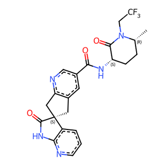 C[C@@H]1CC[C@H](NC(=O)c2cnc3c(c2)C[C@@]2(C3)C(=O)Nc3ncccc32)C(=O)N1CC(F)(F)F